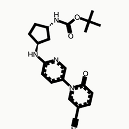 CC(C)(C)OC(=O)N[C@H]1CC[C@H](Nc2ccc(-n3cc(C#N)ccc3=O)cn2)C1